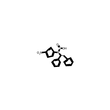 O=[N+]([O-])c1ccc(N([C@H](Cc2ccccc2)c2ccccc2)S(=O)O)cc1